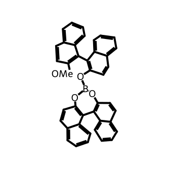 COc1ccc2ccccc2c1-c1c(OB2Oc3ccc4ccccc4c3-c3c(ccc4ccccc34)O2)ccc2ccccc12